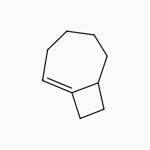 C1=C2CCC2CCCC1